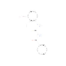 O=C(NC(=S)Nc1cccc(Br)c1F)c1ccccc1